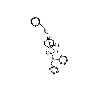 O=C(O[C@H]1C[N+]2(CC=Cc3ccccc3)CCC1CC2)N(Cc1cccs1)c1ccccc1